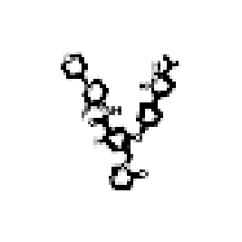 CC(C)C1=CC=C(c2ccc(Oc3cc(C(=O)N[C@@H]4CCN(C5CCOCC5)C[C@@H]4F)c(F)cc3Cn3cnccc3=O)cc2)NN1